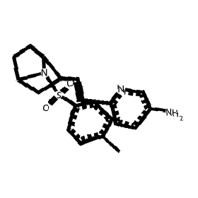 Cc1ccc(S(=O)(=O)N2C3CCC2C(C=Cc2ccc(N)cn2)C3)cc1